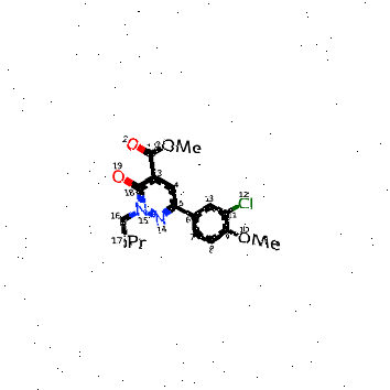 COC(=O)c1cc(-c2ccc(OC)c(Cl)c2)nn(CC(C)C)c1=O